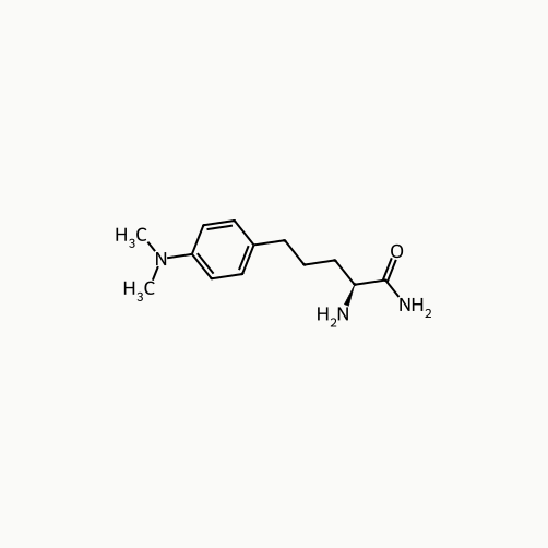 CN(C)c1ccc(CCC[C@H](N)C(N)=O)cc1